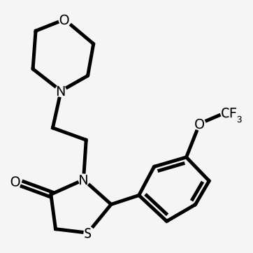 O=C1CSC(c2cccc(OC(F)(F)F)c2)N1CCN1CCOCC1